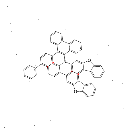 c1ccc(-c2ccc(-c3c(N(c4ccc5c(c4)oc4ccccc45)c4ccccc4-c4ccc5c(c4)oc4ccccc45)c4ccccc4c4ccccc34)cc2)cc1